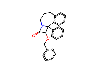 O=C1C(OCc2ccccc2)C2(c3ccccc3)c3ccccc3CCCN12